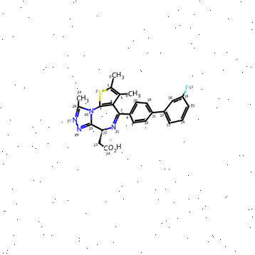 Cc1sc2c(c1C)C(c1ccc(-c3cccc(F)c3)cc1)=N[C@@H](CC(=O)O)c1nnc(C)n1-2